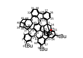 CC(C)(C)c1ccc2c(c1)B1c3c(cc(-n4c5c(C67CC8CC(CC(C8)C6)C7)cccc5c5cccc(C67CC8CC9CC(C6)C9(C8)C7)c54)cc3-n3c4ccc(C(C)(C)C)cc4c4cc(C(C)(C)C)cc1c43)O2